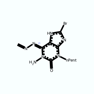 C=N/N=c1/c2[nH]c(Br)nc2n(CCCCC)c(=O)n1N